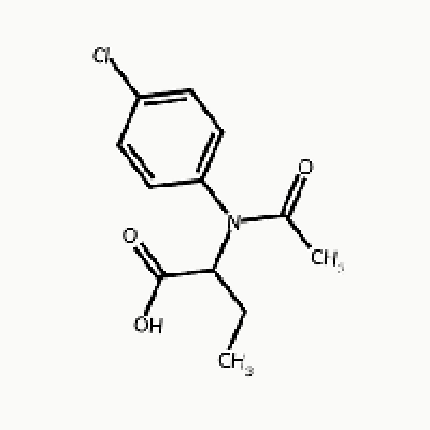 CCC(C(=O)O)N(C(C)=O)c1ccc(Cl)cc1